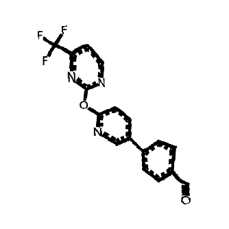 O=Cc1ccc(-c2ccc(Oc3nccc(C(F)(F)F)n3)nc2)cc1